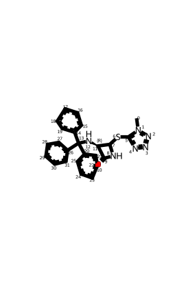 Cn1nnnc1SC1NC(=O)[C@H]1NC(c1ccccc1)(c1ccccc1)c1ccccc1